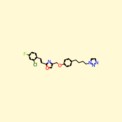 Fc1ccc(C=Cc2nc(COc3ccc(CCCCn4ccnn4)cc3)co2)c(Cl)c1